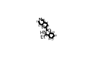 CC[C@@H](NC(=O)c1ccc2cnccc2n1)c1ccccc1